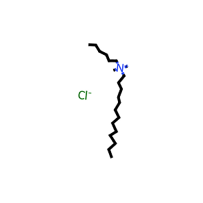 CCCCCCCCCCCCC[N+](C)(C)CCCCCC.[Cl-]